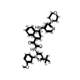 COc1cccc(-n2nc(C(C)(C)C)cc2NC(=O)C(=O)c2ccc(Nc3ccnc(N4CCOCC4)c3)c3ccccc23)c1